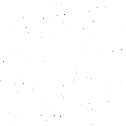 Cn1c(=O)cc(C2(F)C=CC(CC(=O)O)=CC2)c2nc(C#N)ccc21